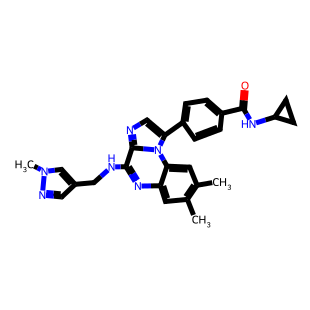 Cc1cc2nc(NCc3cnn(C)c3)c3ncc(-c4ccc(C(=O)NC5CC5)cc4)n3c2cc1C